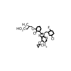 CC(COc1cccc(-c2nc3c(OC4(C)CC4)ncnc3n2Cc2cc(Cl)ccc2F)c1Cl)CC(=O)O